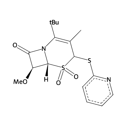 CO[C@H]1C(=O)N2C(C(C)(C)C)=C(C)C(Sc3ccccn3)S(=O)(=O)[C@H]12